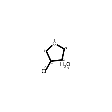 ClC1CCOC1.O